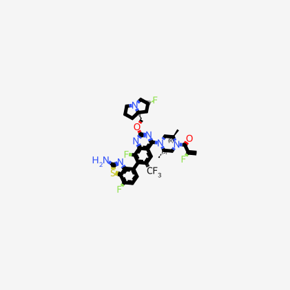 C=C(F)C(=O)N1C[C@H](C)N(c2nc(OC[C@]34CCCN3C[C@H](F)C4)nc3c(F)c(-c4ccc(F)c5sc(N)nc45)c(C(F)(F)F)cc23)C[C@H]1C